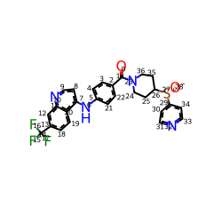 O=C(c1ccc(Nc2ccnc3cc(C(F)(F)F)ccc23)cc1)N1CCC([S+]([O-])c2ccncc2)CC1